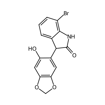 O=C1Nc2c(Br)cccc2C1c1cc2c(cc1O)OCO2